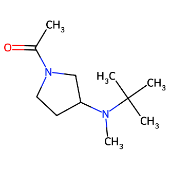 CC(=O)N1CCC(N(C)C(C)(C)C)C1